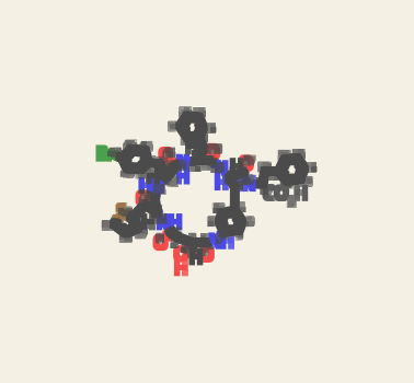 O=C1C[C@@H](O)C(=O)Nc2ccc(cc2)C[C@@H](C(=O)N[C@@H](Cc2ccccc2)C(=O)O)NC(=O)[C@H](Cc2ccccc2)NC(=O)[C@@H](Cc2ccc(Br)cc2)NC(=O)[C@H](Cc2cccs2)N1